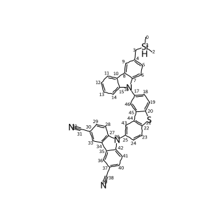 C[SiH](C)Cc1ccc2c(c1)c1ccccc1n2-c1ccc2sc3ccc(-n4c5ccc(C#N)cc5c5cc(C#N)ccc54)cc3c2c1